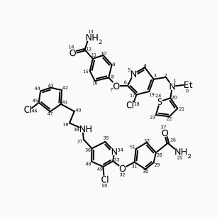 CCN(Cc1cnc(Oc2ccc(C(N)=O)cc2)c(Cl)c1)c1cccs1.NC(=O)c1ccc(Oc2ncc(CNCCc3cccc(Cl)c3)cc2Cl)cc1